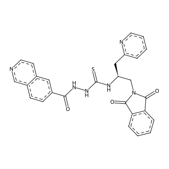 O=C(NNC(=S)N[C@@H](Cc1ccccn1)CN1C(=O)c2ccccc2C1=O)c1ccc2cnccc2c1